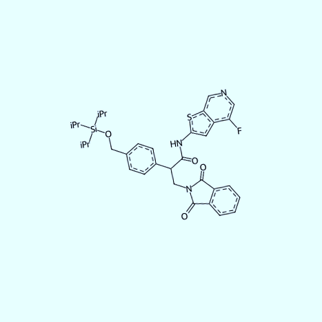 CC(C)[Si](OCc1ccc(C(CN2C(=O)c3ccccc3C2=O)C(=O)Nc2cc3c(F)cncc3s2)cc1)(C(C)C)C(C)C